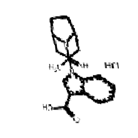 CC(=N)N1C2CCC1CC(n1cc(C(=O)O)c3ccccc31)C2.Cl